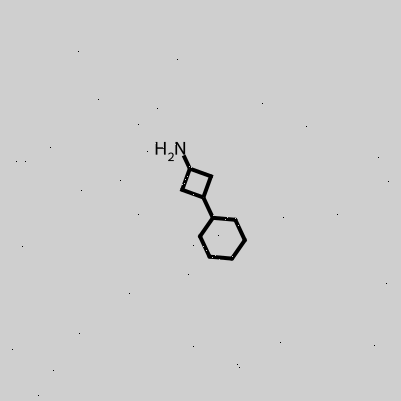 NC1CC(C2CCCCC2)C1